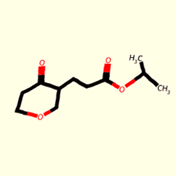 CC(C)OC(=O)CCC1COCCC1=O